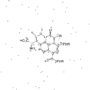 CCCC(C)C(=O)Oc1ccc(C(C(C)C(C)OC(=O)CC(C)C)[C@H](N)C(=O)O)cc1OC(=O)C(C)CCC